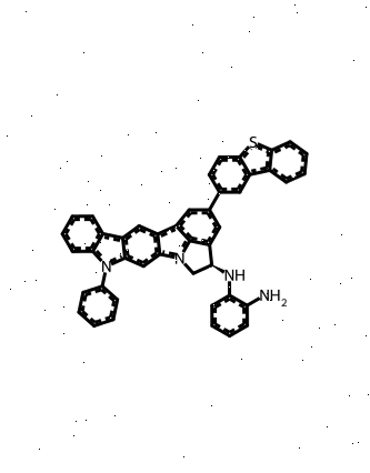 Nc1ccccc1N[C@H]1Cn2c3cc4c(cc3c3cc(-c5ccc6sc7ccccc7c6c5)cc1c32)c1ccccc1n4-c1ccccc1